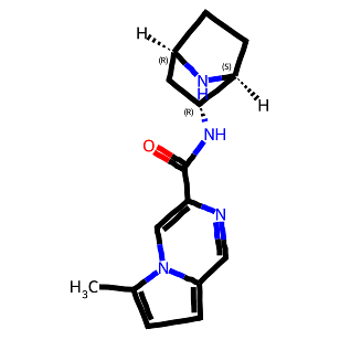 Cc1ccc2cnc(C(=O)N[C@@H]3C[C@H]4CC[C@@H]3N4)cn12